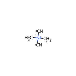 C[N+](C)(C#N)C#N